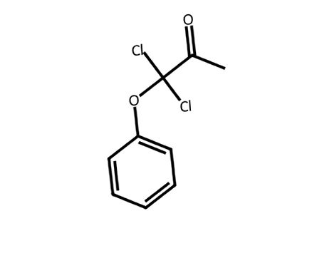 CC(=O)C(Cl)(Cl)Oc1ccccc1